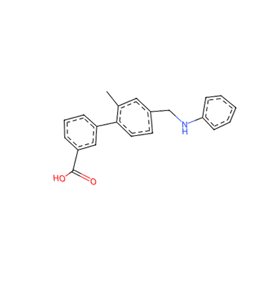 Cc1cc(CNc2ccccc2)ccc1-c1cccc(C(=O)O)c1